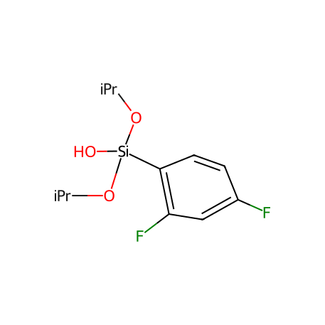 CC(C)O[Si](O)(OC(C)C)c1ccc(F)cc1F